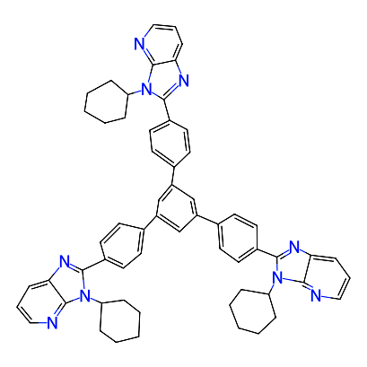 c1cnc2c(c1)nc(-c1ccc(-c3cc(-c4ccc(-c5nc6cccnc6n5C5CCCCC5)cc4)cc(-c4ccc(-c5nc6cccnc6n5C5CCCCC5)cc4)c3)cc1)n2C1CCCCC1